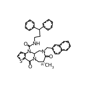 C[C@@H]1CN2C(=O)c3sccc3N(C(=O)NCCC(c3ccccc3)c3ccccc3)C2CN(Cc2ccc3ccccc3c2)C1=O